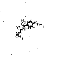 COCC(=O)NC(C)c1ccc(OC)cn1